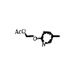 CC(=O)OCCOc1ccc(C)cn1